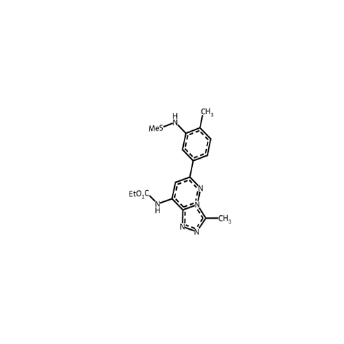 CCOC(=O)Nc1cc(-c2ccc(C)c(NSC)c2)nn2c(C)nnc12